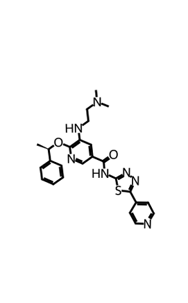 C[C@@H](Oc1ncc(C(=O)Nc2nnc(-c3ccncc3)s2)cc1NCCN(C)C)c1ccccc1